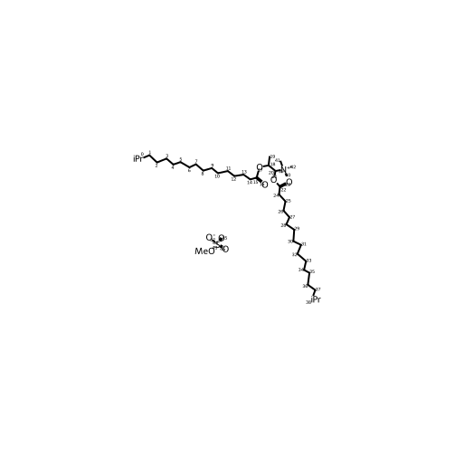 CC(C)CCCCCCCCCCCCCCC(=O)OC(C)C(OC(=O)CCCCCCCCCCCCCCC(C)C)[N+](C)(C)C.COS(=O)(=O)[O-]